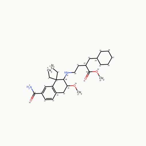 CCC1(CC)c2cc(C(N)=O)ccc2CC(OC)C1NCCC(CC1CCCCC1)C(=O)OC